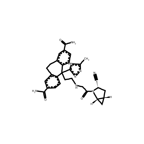 Cc1nnc(C2(CCNCC(=O)N3[C@H](C#N)C[C@@H]4C[C@@H]43)c3ccc(C(N)=O)cc3CCc3cc(C(N)=O)ccc32)[nH]1